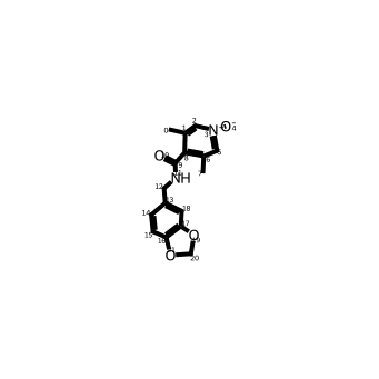 Cc1c[n+]([O-])cc(C)c1C(=O)NCc1ccc2c(c1)OCO2